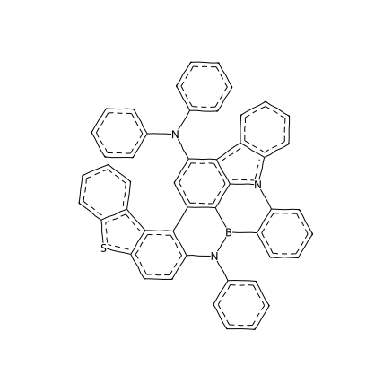 c1ccc(N2B3c4ccccc4-n4c5ccccc5c5c(N(c6ccccc6)c6ccccc6)cc(c3c54)-c3c2ccc2sc4ccccc4c32)cc1